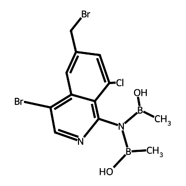 CB(O)N(B(C)O)c1ncc(Br)c2cc(CBr)cc(Cl)c12